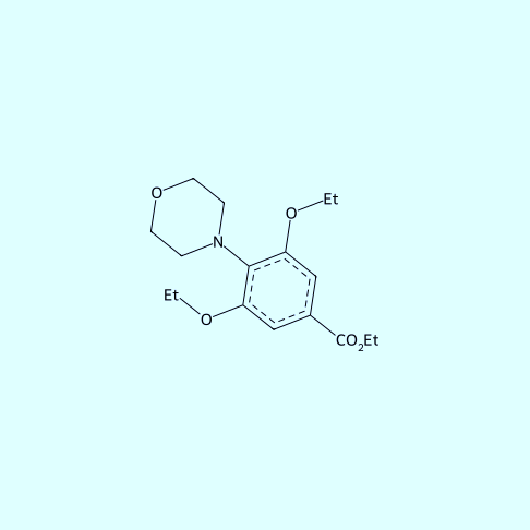 CCOC(=O)c1cc(OCC)c(N2CCOCC2)c(OCC)c1